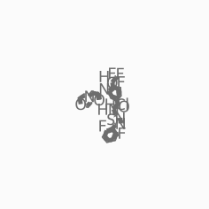 Cl.O=C(CN1CCOCC1)Nc1cc(C(=O)Nc2nnc(-c3c(F)cccc3F)s2)ccc1OC(F)(F)F